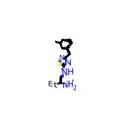 CCC(N)CNc1nc(Cc2cccc(C)c2)ns1